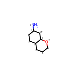 NC1CCC2CCCOC2C1